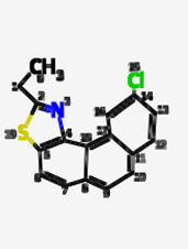 CCc1nc2c(ccc3ccc4ccc(Cl)cc4c32)s1